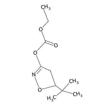 CCOC(=O)OC1=NOC(C(C)(C)C)C1